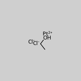 CCO.[Cl-].[Cl-].[Pt+2]